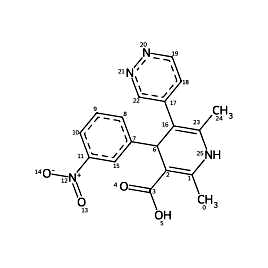 CC1=C(C(=O)O)C(c2cccc([N+](=O)[O-])c2)C(c2ccnnc2)=C(C)N1